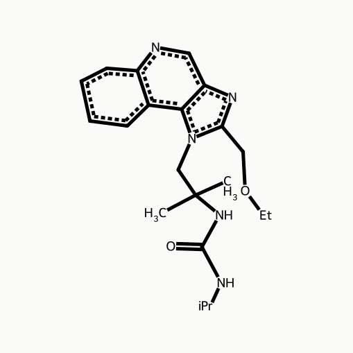 CCOCc1nc2cnc3ccccc3c2n1CC(C)(C)NC(=O)NC(C)C